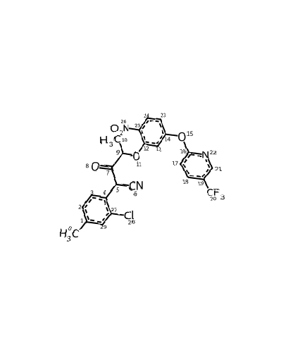 Cc1ccc(C(C#N)C(=O)C(C)Oc2cc(Oc3ccc(C(F)(F)F)cn3)ccc2[N+](=O)[O-])c(Cl)c1